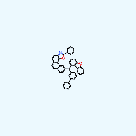 c1ccc(-c2cccc(C(c3ccc4ccc5ccc6nc(-c7ccccc7)oc6c5c4c3)c3cccc4oc5ccccc5c34)c2)cc1